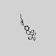 CCCCOc1ccc2c(c1)CCC(C(=O)C(=O)OC)C2=O